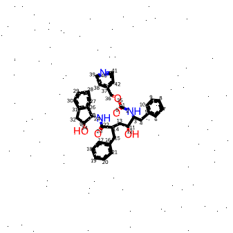 O=C(NC(Cc1ccccc1)C(O)CC(Cc1ccccc1)C(=O)N[C@H]1c2ccccc2C[C@@H]1O)OCc1ccncc1